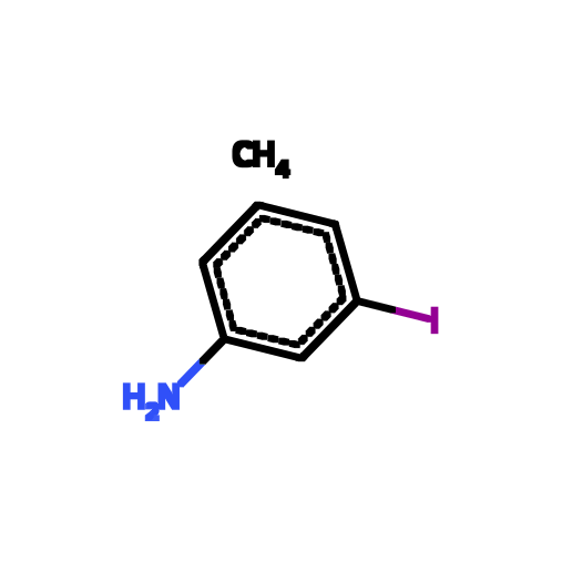 C.Nc1cccc(I)c1